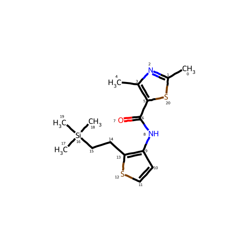 Cc1nc(C)c(C(=O)Nc2ccsc2CC[Si](C)(C)C)s1